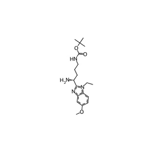 CCn1c([C@@H](N)CCCNC(=O)OC(C)(C)C)nc2cc(OC)ccc21